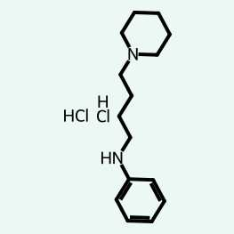 Cl.Cl.c1ccc(NCCCCN2CCCCC2)cc1